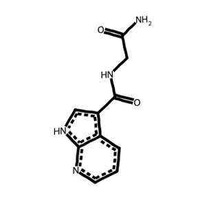 NC(=O)CNC(=O)c1c[nH]c2ncccc12